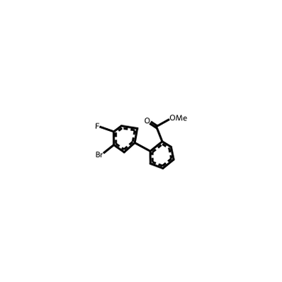 COC(=O)c1ccccc1-c1ccc(F)c(Br)c1